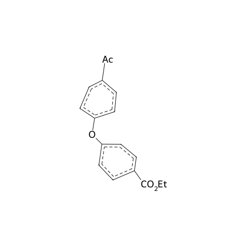 CCOC(=O)c1ccc(Oc2ccc(C(C)=O)cc2)cc1